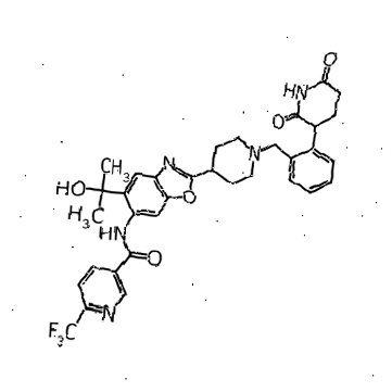 CC(C)(O)c1cc2nc(C3CCN(Cc4ccccc4C4CCC(=O)NC4=O)CC3)oc2cc1NC(=O)c1ccc(C(F)(F)F)nc1